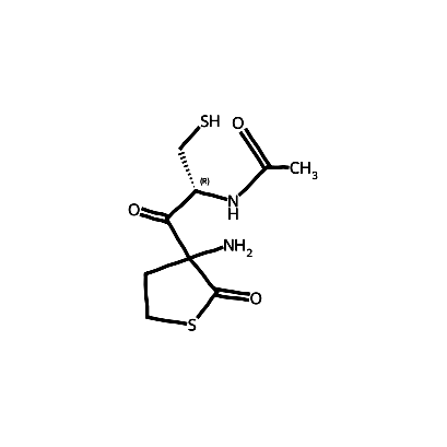 CC(=O)N[C@@H](CS)C(=O)C1(N)CCSC1=O